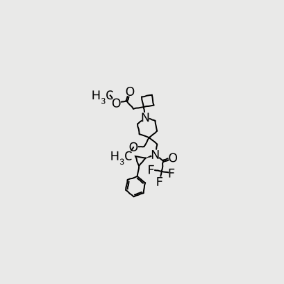 COCC1(CN(C(=O)C(F)(F)F)[C@@H]2CC2c2ccccc2)CCN(C2(CC(=O)OC)CCC2)CC1